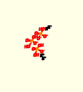 O=P([O-])(O)O.O=P([O-])(O)O.O=P([O-])([O-])O.[K+].[K+].[K+].[K+]